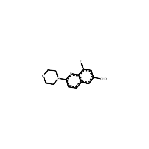 O=Cc1cc(F)c2nc(N3CCOCC3)ccc2c1